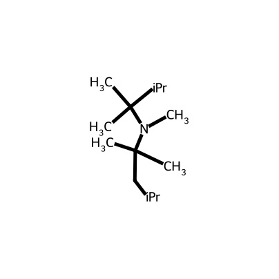 CC(C)CC(C)(C)N(C)C(C)(C)C(C)C